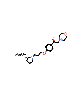 COC[C@H]1CCCN1CCCOc1ccc(C(=O)CN2CCOCC2)cc1